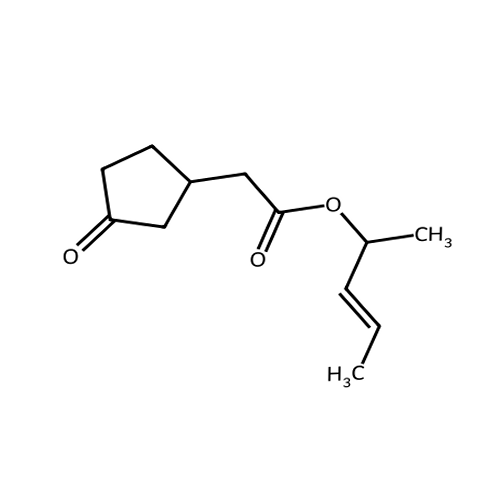 CC=CC(C)OC(=O)CC1CCC(=O)C1